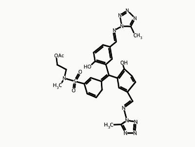 CC(=O)OCCN(C)S(=O)(=O)C1=CC(=C(c2cc(C=Nn3nnnc3C)ccc2O)c2cc(C=Nn3nnnc3C)ccc2O)CC=C1